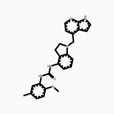 COc1ccc(C)cc1NC(=O)Nc1cccc2c1CCN2Cc1ccnc2[nH]ccc12